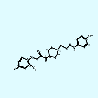 O=C(COc1ccc(Cl)cc1Cl)NC1CCN(CCCOc2ccc(Cl)cc2)CC1